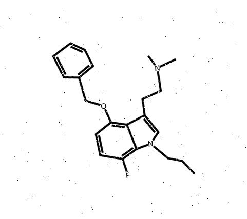 CCCn1cc(CCN(C)C)c2c(OCc3ccccc3)ccc(F)c21